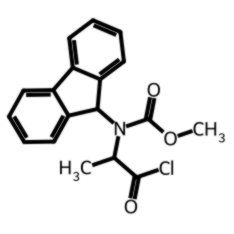 COC(=O)N(C(C)C(=O)Cl)C1c2ccccc2-c2ccccc21